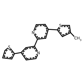 Cc1csc(-c2ccnc(-c3cc(-c4cccs4)ccn3)c2)c1